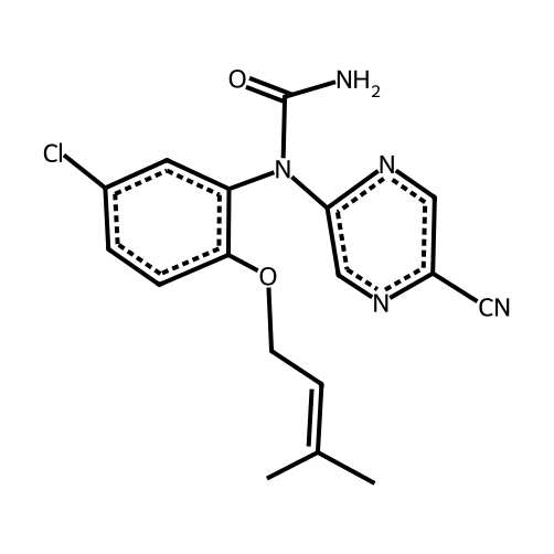 CC(C)=CCOc1ccc(Cl)cc1N(C(N)=O)c1cnc(C#N)cn1